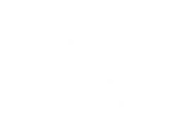 CC12CCC3C(CCC4C[CH]CCC43C)C1CCC2=O